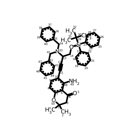 CC1(C)CC(=O)c2c(ccc(C#CC(CO[Si](c3ccccc3)(c3ccccc3)C(C)(C)C)N(Cc3ccccc3)Cc3ccccc3)c2N)O1